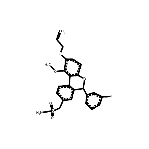 C=CCOc1ccc2c(c1OC)-c1ccc(CS(N)(=O)=O)cc1C(c1cccc(F)c1)O2